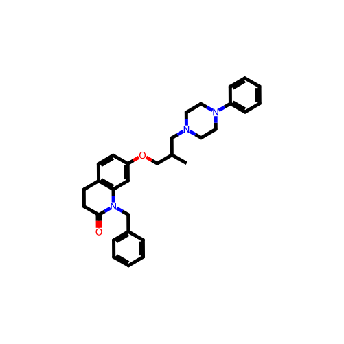 CC(COc1ccc2c(c1)N(Cc1ccccc1)C(=O)CC2)CN1CCN(c2ccccc2)CC1